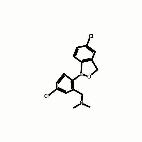 CN(C)Cc1cc(Cl)ccc1B1OCc2cc(Cl)ccc21